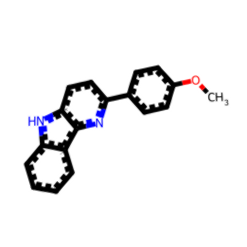 COc1ccc(-c2ccc3[nH]c4ccccc4c3n2)cc1